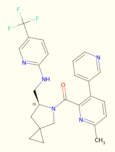 Cc1ccc(-c2cccnc2)c(C(=O)N2CC3(CC3)C[C@H]2CNc2ccc(C(F)(F)F)cn2)n1